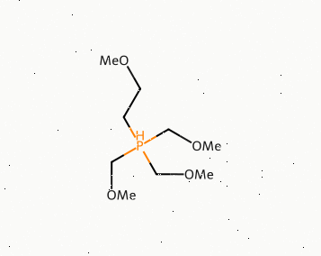 COCC[PH](COC)(COC)COC